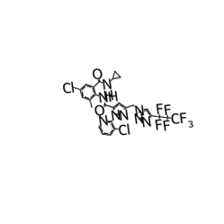 Cc1cc(Cl)cc(C(=O)NC2CC2)c1NC(=O)c1cc(Cn2cc(C(F)(F)C(F)(F)C(F)(F)F)nn2)nn1-c1ncccc1Cl